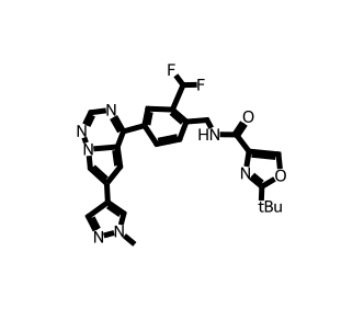 Cn1cc(-c2cc3c(-c4ccc(CNC(=O)c5coc(C(C)(C)C)n5)c(C(F)F)c4)ncnn3c2)cn1